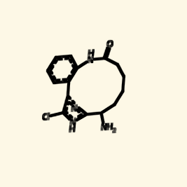 NC1CCCCC(=O)Nc2ccccc2-c2nc1[nH]c2Cl